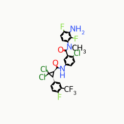 CN(C(=O)c1cc(NC(=O)[C@H]2[C@H](c3ccc(F)c(C(F)(F)F)c3)C2(Cl)Cl)ccc1Cl)c1ccc(F)c(N)c1F